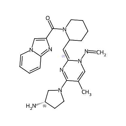 C=NN1C=C(C)C(N2CC[C@H](N)C2)=N/C1=C/C1CCCCN1C(=O)c1cn2ccccc2n1